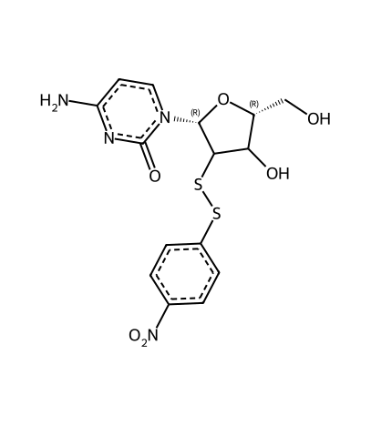 Nc1ccn([C@@H]2O[C@H](CO)C(O)C2SSc2ccc([N+](=O)[O-])cc2)c(=O)n1